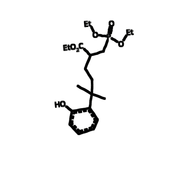 CCOC(=O)C(CCC(C)(C)c1ccccc1O)CP(=O)(OCC)OCC